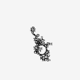 CCn1c(-c2cncnc2[C@H](C)OC)c2c3cc(ccc31)-c1cc(O)cc(c1)C[C@H](NC(=O)[C@H](C(C)C)N(C)C(=O)[C@@]1(O)CCN(C(=O)C#CCN3CCOCC3)C1)C(=O)N1CCC[C@@](O)(N1)C(=O)OCC(C)(C)C2